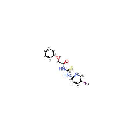 O=C(COc1ccccc1)NC(=S)Nc1ccc(I)cn1